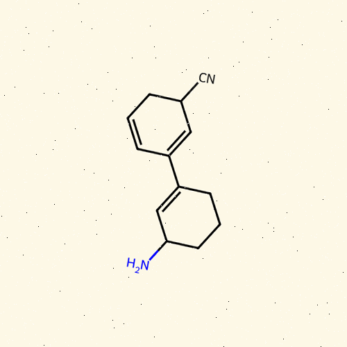 N#CC1C=C(C2=CC(N)CCC2)C=CC1